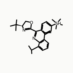 CC(C)c1cccc(C(C)C)c1/N=C(/C1=N[C@@H](C(C)(C)C)CO1)c1ccc([SH](C)(C)(C)C)cc1